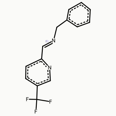 FC(F)(F)c1ccc(/C=N/Cc2ccccc2)nc1